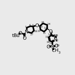 CC(C)(C)OC(=O)N1CCC(O[C@H]2CC[C@H](Oc3ccc(S(C)(=O)=O)nn3)CC2)CC1